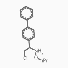 CCCO[SiH2]C(CCl)c1ccc(-c2ccccc2)cc1